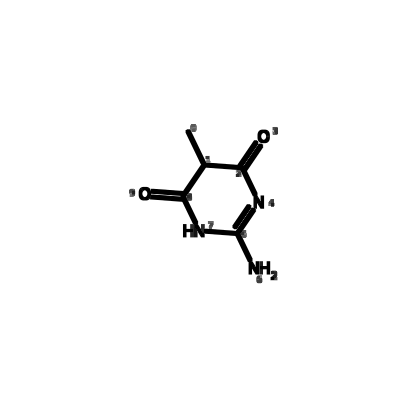 CC1C(=O)N=C(N)NC1=O